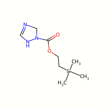 C[Si](C)(C)CCOC(=O)N1CN=CN1